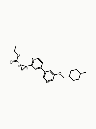 CCOC(=O)[C@H]1C[C@@H]1c1cc(-c2cncc(OC[C@H]3CC[C@H](C)CC3)c2)ccn1